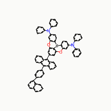 c1ccc(N(c2ccccc2)c2ccc3c(c2)Oc2cc(-c4c5ccccc5c(-c5ccc(-c6cccc7ccccc67)cc5)c5ccccc45)cc4c2B3c2ccc(N(c3ccccc3)c3ccccc3)cc2O4)cc1